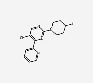 Clc1cnc(N2CCC(I)CC2)nc1-c1ccccn1